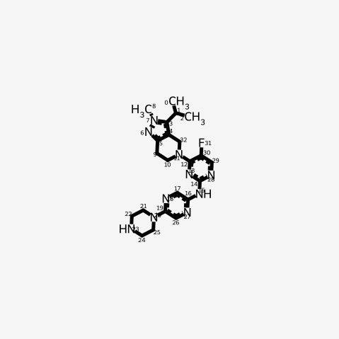 CC(C)c1c2c(nn1C)CCN(c1nc(Nc3cnc(N4CCNCC4)cn3)ncc1F)C2